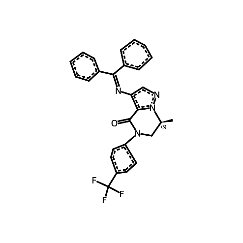 C[C@H]1CN(c2ccc(C(F)(F)F)cc2)C(=O)c2c(N=C(c3ccccc3)c3ccccc3)cnn21